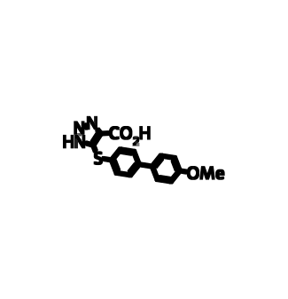 COc1ccc(-c2ccc(Sc3[nH]nnc3C(=O)O)cc2)cc1